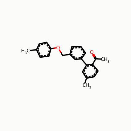 CC(=O)c1ccc(C)cc1-c1cccc(COc2ccc(C)cc2)c1